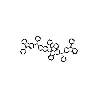 c1ccc(N(c2ccc3cc4c(cc3c2)C(c2ccccc2)(c2ccccc2)c2c-4c3ccccc3c3cc(N(c4ccccc4)c4ccc5c(c4)c4ccccc4n5-c4ccccc4)ccc23)c2ccc3c(c2)c2ccccc2n3-c2ccccc2)cc1